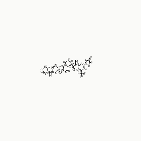 Cc1cn(-c2cc(NC(=O)c3cccc4cc(Oc5ccnc(Nc6ccccn6)c5)ccc34)cc(C(F)(F)F)c2)cn1